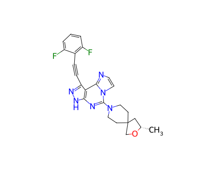 C[C@H]1CC2(CCN(c3nc4[nH]nc(C#Cc5c(F)cccc5F)c4c4nccn34)CC2)CO1